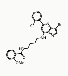 COc1ccccc1C(=O)NCCCCNc1cc(-c2ccccc2Cl)nc2c(Br)cnn12